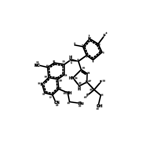 Cc1nc(F)ccc1[C@H](Nc1cc(C#N)c2ncc(C#N)c(NCC(C)(C)C)c2c1)C1=CN(C(F)(F)CO)NN1